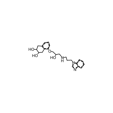 OC(CNCCCn1cnc2ccccc21)COc1cccc2c1CC(O)C(O)C2